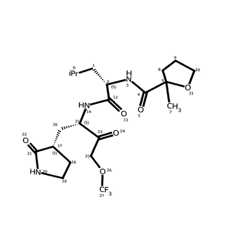 CC(C)C[C@H](NC(=O)C1(C)CCCO1)C(=O)N[C@@H](C[C@@H]1CCNC1=O)C(=O)COC(F)(F)F